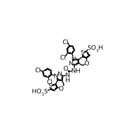 O=C(Nc1nn(-c2ccc(Cl)cc2Cl)c2c1COc1cc(S(=O)(=O)O)sc1-2)Nc1nn(-c2ccc(Cl)cc2Cl)c2c1COc1cc(S(=O)(=O)O)sc1-2